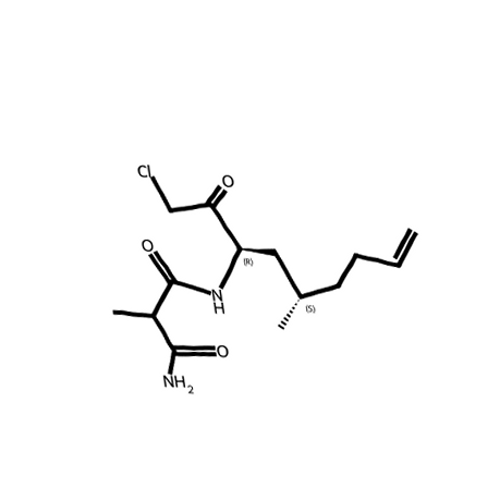 C=CCC[C@H](C)C[C@@H](NC(=O)C(C)C(N)=O)C(=O)CCl